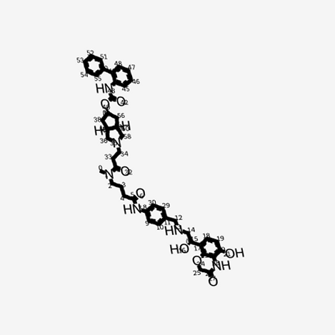 CN(CCCC(=O)Nc1ccc(CNC[C@H](O)c2ccc(O)c3c2OCC(=O)N3)cc1)C(=O)CCN1C[C@H]2C[C@@H](OC(=O)Nc3ccccc3-c3ccccc3)C[C@H]2C1